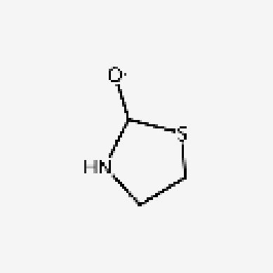 [O]C1NCCS1